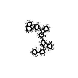 c1ccc(-c2cccc(-n3c4ccccc4c4cc(-c5ccc6c(c5)c5ccccc5n6-c5ccc6c(c5)-c5cncc7cccc-6c57)ccc43)c2)cc1